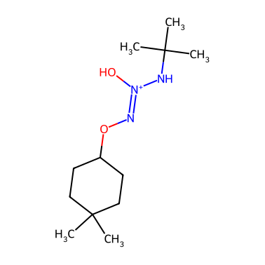 CC1(C)CCC(O/N=[N+](\O)NC(C)(C)C)CC1